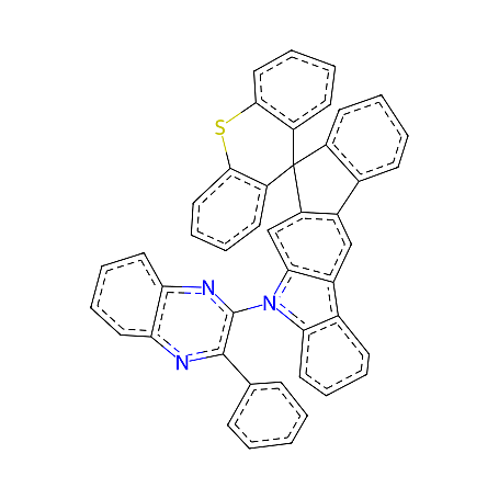 c1ccc(-c2nc3ccccc3nc2-n2c3ccccc3c3cc4c(cc32)C2(c3ccccc3Sc3ccccc32)c2ccccc2-4)cc1